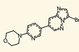 Brc1cnc2cc(-c3ccc(N4CCOCC4)nc3)cnn12